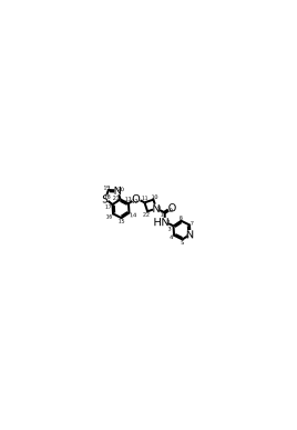 O=C(Nc1ccncc1)N1CC(Oc2cccc3scnc23)C1